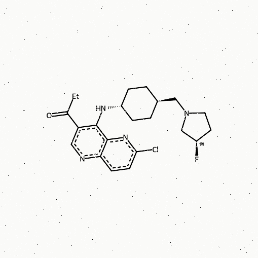 CCC(=O)c1cnc2ccc(Cl)nc2c1N[C@H]1CC[C@H](CN2CC[C@@H](F)C2)CC1